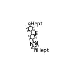 CCCCCCCc1ccc(-c2ccc(-c3ncc(CCCCCCC)cn3)cc2F)cc1